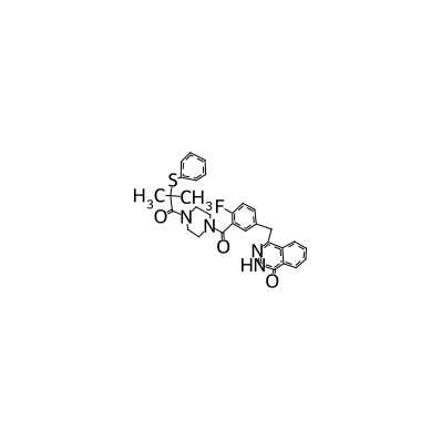 CC(C)(Sc1ccccc1)C(=O)N1CCN(C(=O)c2cc(Cc3n[nH]c(=O)c4ccccc34)ccc2F)CC1